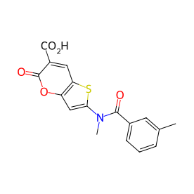 Cc1cccc(C(=O)N(C)c2cc3oc(=O)c(C(=O)O)cc3s2)c1